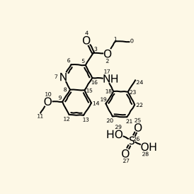 CCOC(=O)c1cnc2c(OC)cccc2c1Nc1ccccc1C.O=S(=O)(O)O